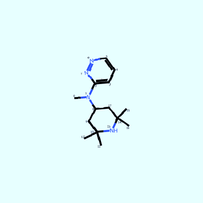 CN(c1cccnn1)C1CC(C)(C)NC(C)(C)C1